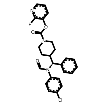 O=CN(c1ccc(Cl)cc1)[C@H](c1ccccc1)C1CCN(C(=O)Oc2cccnc2F)CC1